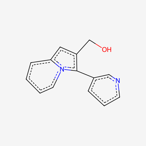 OCc1cc2ccccn2c1-c1cccnc1